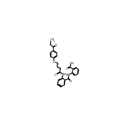 CCC(=O)c1ccc(OCCCC(=O)Nc2ccccc2C(=O)Nc2ccccc2C(=O)O)cc1